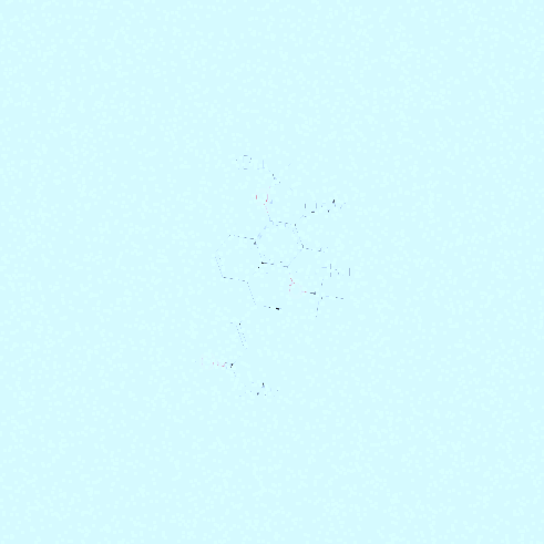 COC(=O)/C=C/[C@H](C)[C@H]1C=C[C@H](C)c2c(O[Si](C)(C)C(C)(C)C)c(OC)c(C)c(O[Si](C)(C)C(C)(C)C)c21